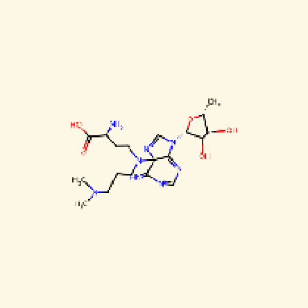 C[C@H]1O[C@@H](N2C=NC3(N(CCCN(C)C)CC[C@H](N)C(=O)O)C(=N)N=CN=C23)[C@H](O)[C@@H]1O